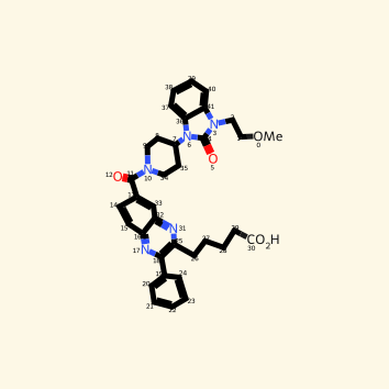 COCCn1c(=O)n(C2CCN(C(=O)c3ccc4nc(-c5ccccc5)c(CCCCC(=O)O)nc4c3)CC2)c2ccccc21